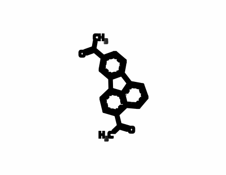 CC(=O)c1ccc2c(c1)-c1ccc(C(C)=O)c3cccc-2c13